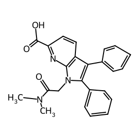 CN(C)C(=O)Cn1c(-c2ccccc2)c(-c2ccccc2)c2ccc(C(=O)O)nc21